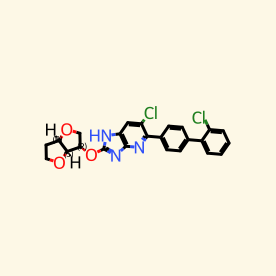 Clc1ccccc1-c1ccc(-c2nc3nc(O[C@@H]4CO[C@@H]5CCO[C@@H]54)[nH]c3cc2Cl)cc1